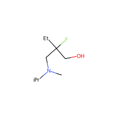 CCC(F)(CO)CN(C)C(C)C